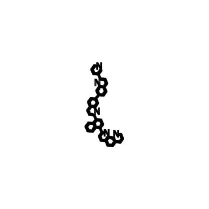 c1cncc(-c2ccc3ccc(-c4ccc5ccc(-c6ccc(-c7ccc8ccc9cccnc9c8n7)c7ccccc67)nc5c4)cc3n2)c1